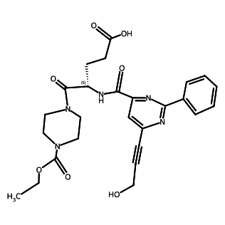 CCOC(=O)N1CCN(C(=O)[C@H](CCC(=O)O)NC(=O)c2cc(C#CCO)nc(-c3ccccc3)n2)CC1